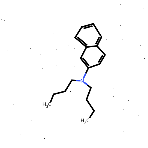 CCCCN(CCCC)c1ccc2ccccc2c1